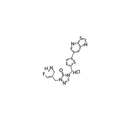 Cl.NC/C(=C\F)Cn1ncn(Cc2ccc(-c3cnc4scnc4c3)s2)c1=O